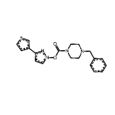 O=C(On1ccc(-c2ccsc2)n1)N1CCN(Cc2ccccc2)CC1